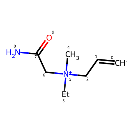 [CH]=CC[N+](C)(CC)CC(N)=O